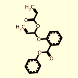 C=CC(=O)OC(C=C)Oc1ccccc1C(=O)Oc1ccccc1